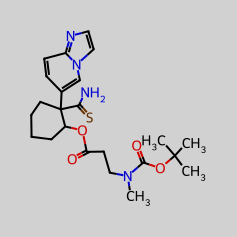 CN(CCC(=O)OC1CCCCC1(C(N)=S)c1ccc2nccn2c1)C(=O)OC(C)(C)C